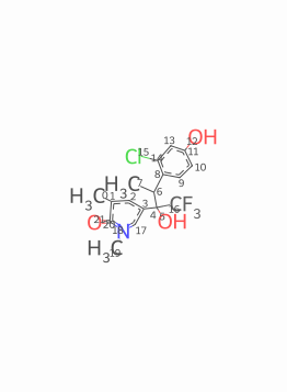 Cc1cc(C(O)(C(C)c2ccc(O)cc2Cl)C(F)(F)F)cn(C)c1=O